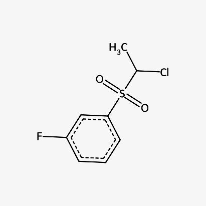 CC(Cl)S(=O)(=O)c1cccc(F)c1